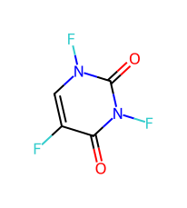 O=c1c(F)cn(F)c(=O)n1F